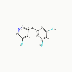 Fc1cncc([CH]c2cc(F)cc(F)c2)c1